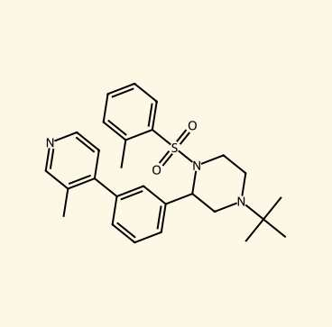 Cc1cnccc1-c1cccc(C2CN(C(C)(C)C)CCN2S(=O)(=O)c2ccccc2C)c1